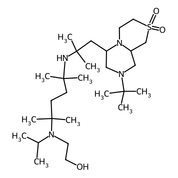 CC(C)N(CCO)C(C)(C)CCC(C)(C)NC(C)(C)CC1CN(C(C)(C)C)CC2CS(=O)(=O)CCN12